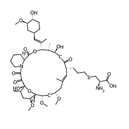 CO[C@H]1C/C(C)=C/[C@@H](CCCSC[C@H](N)C(=O)O)C(=O)C[C@H](O)[C@@H](C)[C@@H](/C(C)=C/[C@@H]2CC[C@@H](O)[C@H](OC)C2)OC(=O)[C@@H]2CCCCN2C(=O)C(=O)[C@]2(O)O[C@H]([C@@H](OC)C1)[C@@H](OC)C[C@H]2C